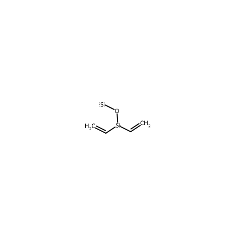 C=C[Si](C=C)O[Si]